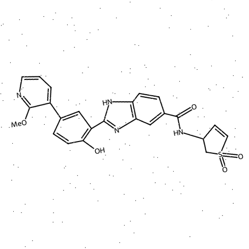 COc1ncccc1-c1ccc(O)c(-c2nc3cc(C(=O)NC4C=CS(=O)(=O)C4)ccc3[nH]2)c1